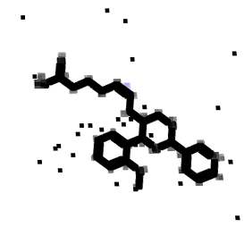 COc1ccccc1C1OC(c2cccnc2)OCC1C/C=C\CCCC(=O)O